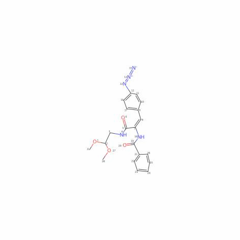 COC(CNC(=O)/C(=C\c1ccc(N=[N+]=[N-])cc1)NC(=O)c1ccccc1)OC